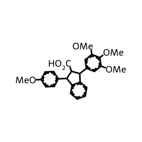 COc1ccc(C2c3ccccc3C(c3cc(OC)c(OC)c(OC)c3)C2C(=O)O)cc1